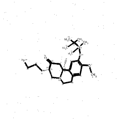 COc1cc2c(cc1O[Si](C)(C)C(C)(C)C)[C@@H]1CC(=O)[C@@H](CCC[19F])CN1CC2